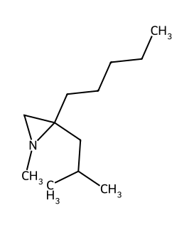 CCCCCC1(CC(C)C)CN1C